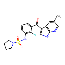 Cc1cnc2[nH]cc(C(=O)c3cccc(NS(=O)(=O)N4CCCC4)c3F)c2c1